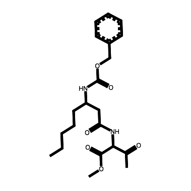 CCCCCC(CC(=O)NC(C(C)=O)C(=O)OC)NC(=O)OCc1ccccc1